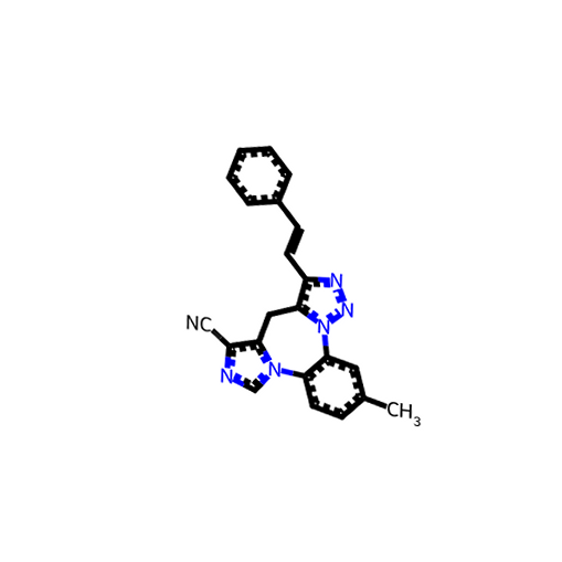 Cc1ccc2c(c1)-n1nnc(/C=C/c3ccccc3)c1Cc1c(C#N)ncn1-2